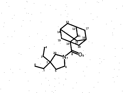 CCC1(CC)CCN(C(=O)C23CC4CC(CC(C4)C2)C3)C1